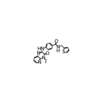 CCn1c(=O)c(Nc2ccc(C(=O)NCc3cccs3)cc2)nc2cccnc21